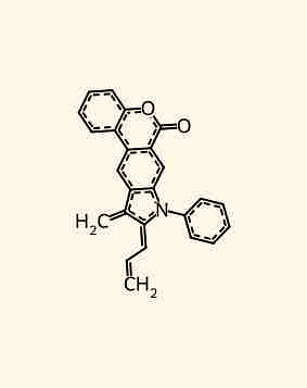 C=C/C=c1\c(=C)c2cc3c(cc2n1-c1ccccc1)c(=O)oc1ccccc13